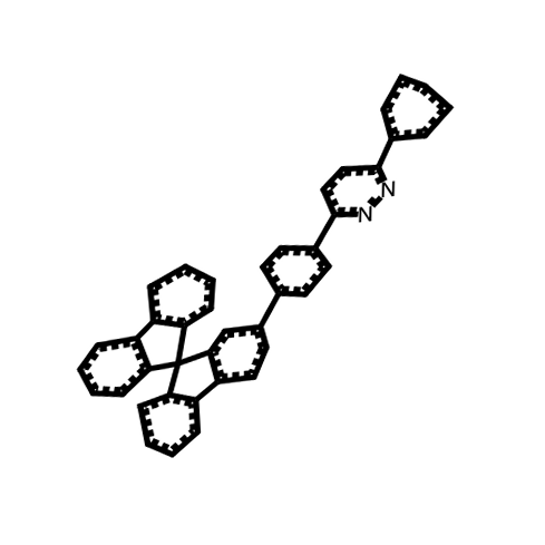 c1ccc(-c2ccc(-c3ccc(-c4ccc5c(c4)C4(c6ccccc6-c6ccccc64)c4ccccc4-5)cc3)nn2)cc1